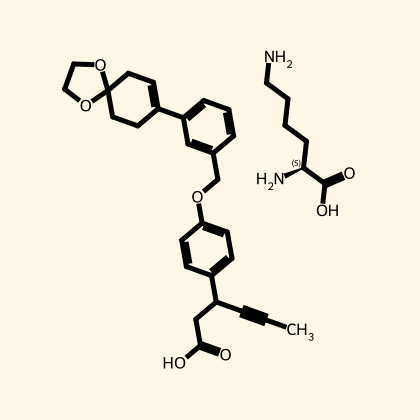 CC#CC(CC(=O)O)c1ccc(OCc2cccc(C3=CCC4(CC3)OCCO4)c2)cc1.NCCCC[C@H](N)C(=O)O